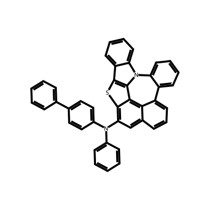 c1ccc(-c2ccc(N(c3ccccc3)c3cc4cccc5c6ccccc6n6c7ccccc7c7sc3c(c45)c76)cc2)cc1